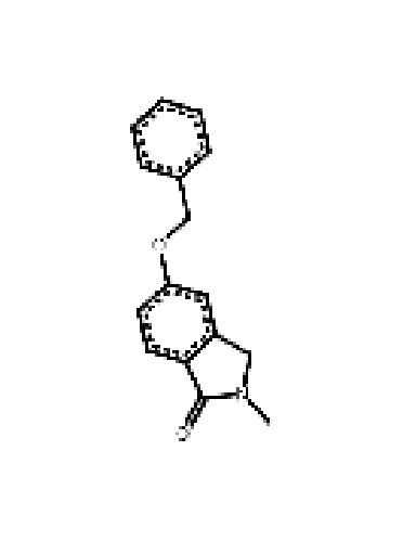 CN1Cc2cc(OCc3ccccc3)ccc2C1=O